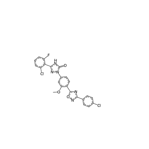 COc1cc(-n2nc(-c3c(F)cccc3Cl)[nH]c2=O)ccc1-c1nc(-c2ccc(Cl)cc2)no1